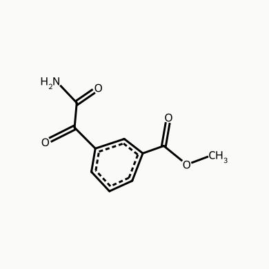 COC(=O)c1cccc(C(=O)C(N)=O)c1